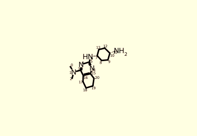 CN(C)c1nc(N[C@H]2CC[C@@H](N)CC2)nc2c1CCCC2